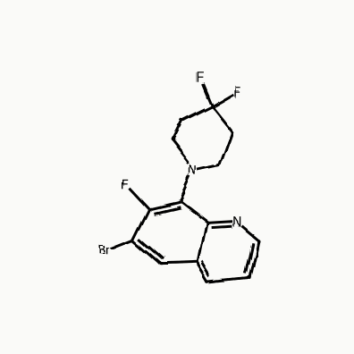 Fc1c(Br)cc2cccnc2c1N1CCC(F)(F)CC1